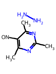 Cc1nc(C)c(N=O)c(C)n1.NN